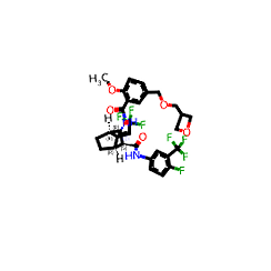 COc1ccc(COCC2COC2)cc1C(=O)N[C@H]1[C@@H](C(=O)Nc2ccc(F)c(C(F)(F)F)c2)[C@H]2CC[C@@H]1/C2=C\C(F)(F)F